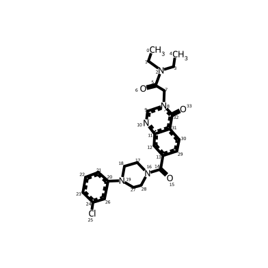 CCN(CC)C(=O)Cn1cnc2cc(C(=O)N3CCN(c4cccc(Cl)c4)CC3)ccc2c1=O